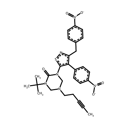 CC#CCCN1CN(c2snc(Cc3ccc([N+](=O)[O-])cc3)c2-c2ccc([N+](=O)[O-])cc2)C(=O)N(C(C)(C)C)C1